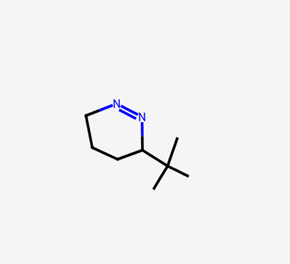 CC(C)(C)C1CCCN=N1